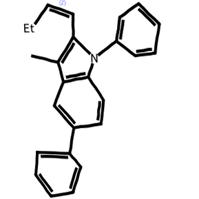 CC/C=C\c1c(C)c2cc(-c3ccccc3)ccc2n1-c1ccccc1